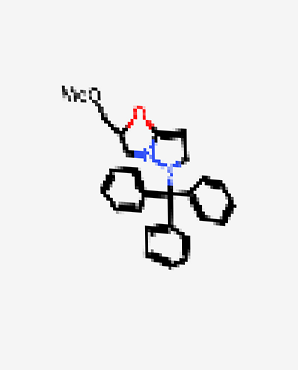 COCC1CN2C(=CCN2C(c2ccccc2)(c2ccccc2)c2ccccc2)O1